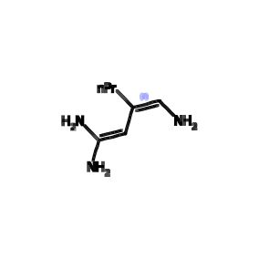 CCC/C(C=C(N)N)=C/N